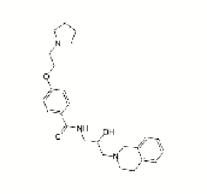 O=C(NCC(O)CN1CCc2ccccc2C1)c1ccc(OCCN2CCCC2)cc1